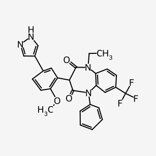 CCN1C(=O)C(c2cc(-c3cn[nH]c3)ccc2OC)C(=O)N(c2ccccc2)c2cc(C(F)(F)F)ccc21